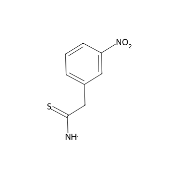 [NH]C(=S)Cc1cccc([N+](=O)[O-])c1